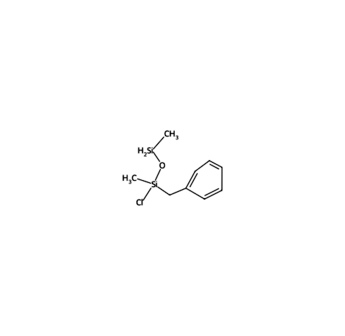 C[SiH2]O[Si](C)(Cl)Cc1ccccc1